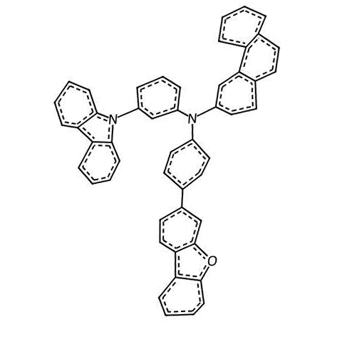 c1cc(N(c2ccc(-c3ccc4c(c3)oc3ccccc34)cc2)c2ccc3ccc4ccccc4c3c2)cc(-n2c3ccccc3c3ccccc32)c1